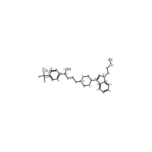 CCOCCn1cc(C2CCN(CCCC(O)c3ccc(C(C)(C)C(=O)O)cc3)CC2)c2ccccc21